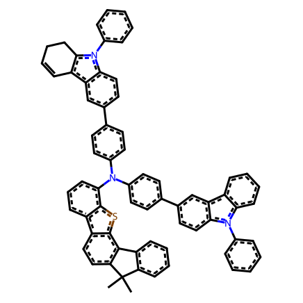 CC1(C)c2ccccc2-c2c1ccc1c2sc2c(N(c3ccc(-c4ccc5c(c4)c4c(n5-c5ccccc5)CCC=C4)cc3)c3ccc(-c4ccc5c(c4)c4ccccc4n5-c4ccccc4)cc3)cccc21